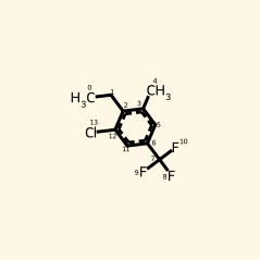 CCc1c(C)cc(C(F)(F)F)cc1Cl